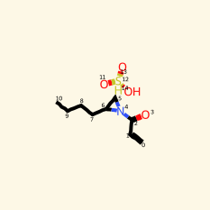 C=CC(=O)N1CC1CCCC.O=[SH](=O)O